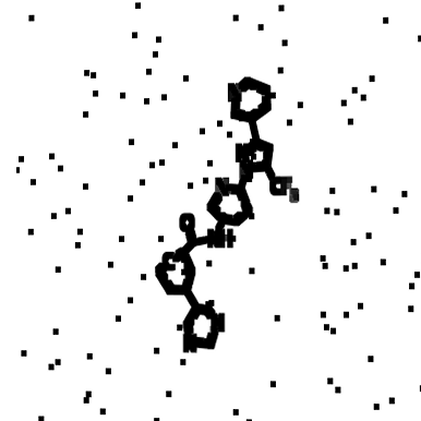 O=C(Nc1ccc(-n2nc(-c3cccnc3)cc2C(F)(F)F)nc1)c1cccc(-c2cncnc2)c1